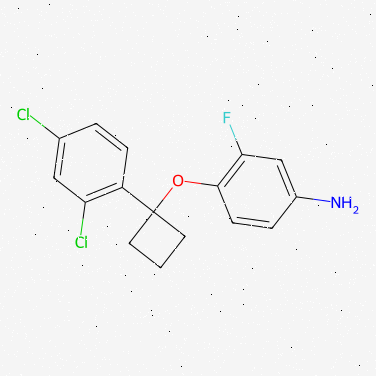 Nc1ccc(OC2(c3ccc(Cl)cc3Cl)CCC2)c(F)c1